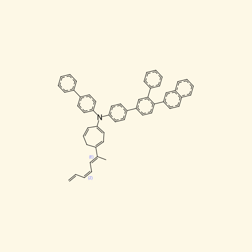 C=C/C=C\C=C(/C)C1=CC=C(N(c2ccc(-c3ccccc3)cc2)c2ccc(-c3ccc(-c4ccc5ccccc5c4)c(-c4ccccc4)c3)cc2)C=CC1